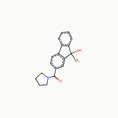 O=C(c1ccc2c(c1)C(O)(C(F)(F)F)c1ccccc1-2)N1CCCC1